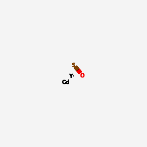 O=S.[Gd].[Y]